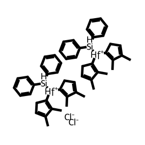 CC1=CC[C]([Hf+]([C]2=C(C)C(C)=CC2)[SiH](c2ccccc2)c2ccccc2)=C1C.CC1=CC[C]([Hf+]([C]2=C(C)C(C)=CC2)[SiH](c2ccccc2)c2ccccc2)=C1C.[Cl-].[Cl-]